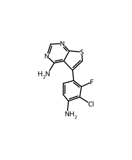 Nc1ccc(-c2csc3ncnc(N)c23)c(F)c1Cl